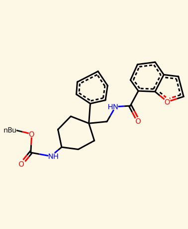 CCCCOC(=O)NC1CCC(CNC(=O)c2cccc3ccoc23)(c2ccccc2)CC1